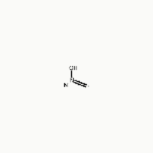 [C]=NO.[N]